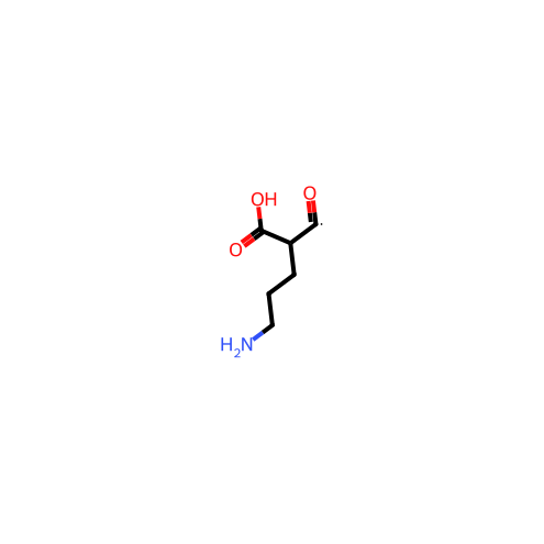 NCCCC([C]=O)C(=O)O